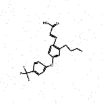 CCCCc1cc(Oc2ccc(C(F)(F)F)cc2)ccc1/C=C/C(=O)O